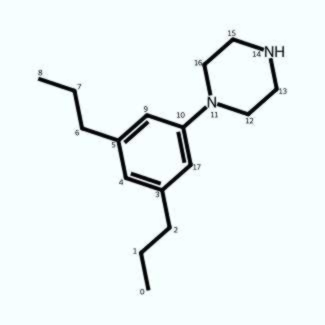 CCCc1cc(CCC)cc(N2CCNCC2)c1